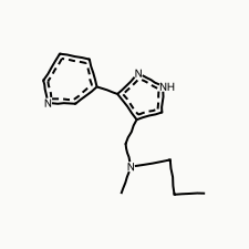 CCCN(C)Cc1c[nH]nc1-c1cccnc1